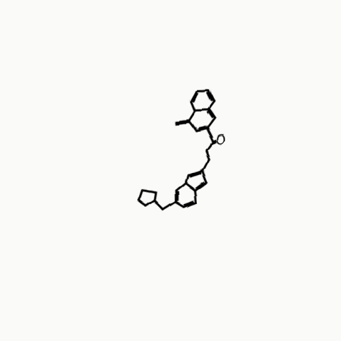 C=C1C=C(C(=O)CCC2=CC3C=C(CC4CCCC4)C=CC3=C2)C=C2C=CC=CC12